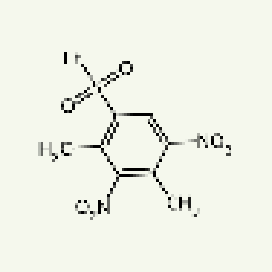 CCS(=O)(=O)c1cc([N+](=O)[O-])c(C)c([N+](=O)[O-])c1C